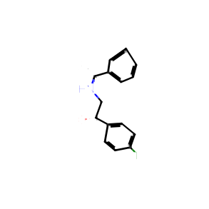 C[C@@H](NC[C@@H](O)c1ccc(F)cc1)c1ccccc1